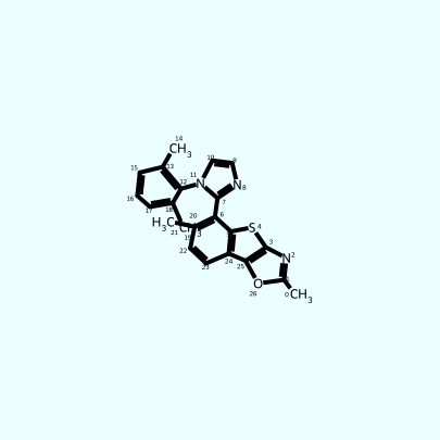 Cc1nc2sc3c(-c4nccn4-c4c(C)cccc4C)c(C)ccc3c2o1